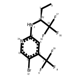 CC[C@H](Nc1cc(C(F)(F)F)c(Br)cn1)C(F)(F)F